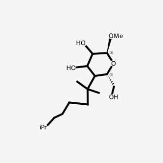 CO[C@H]1O[C@H](CO)C(C(C)(C)CCCCC(C)C)C(O)C1O